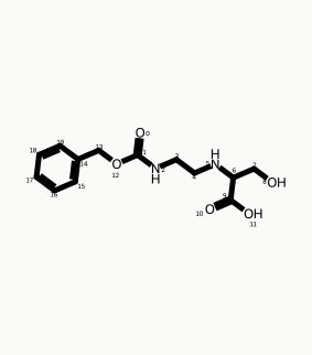 O=C(NCCNC(CO)C(=O)O)OCc1ccccc1